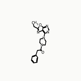 CCc1nc2c(N3CCN(C(=O)Cc4ccccc4)CC3)ncnc2o1